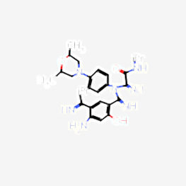 CC(C)NC(=O)C(=N)N(C(=N)c1cc(C(=N)C(C)C)c(N)cc1O)c1ccc(N2CC(C)OC(C)C2)cc1